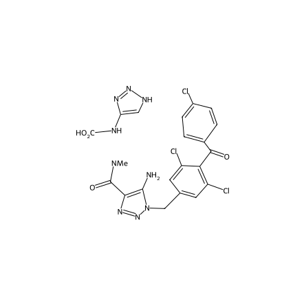 CNC(=O)c1nnn(Cc2cc(Cl)c(C(=O)c3ccc(Cl)cc3)c(Cl)c2)c1N.O=C(O)Nc1c[nH]nn1